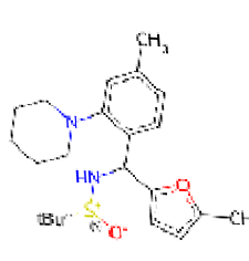 Cc1ccc(C(N[S@+]([O-])C(C)(C)C)c2ccc(C)o2)c(N2CCCCC2)c1